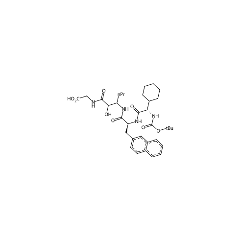 CCCC(NC(=O)[C@H](Cc1ccc2ccccc2c1)NC(=O)[C@@H](NC(=O)OC(C)(C)C)C1CCCCC1)C(O)C(=O)NCC(=O)O